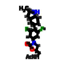 CC(=O)NCC1CN(c2cc(F)c(-c3ccc4[nH]c(C)cc4c3)c(F)c2)C(=O)O1